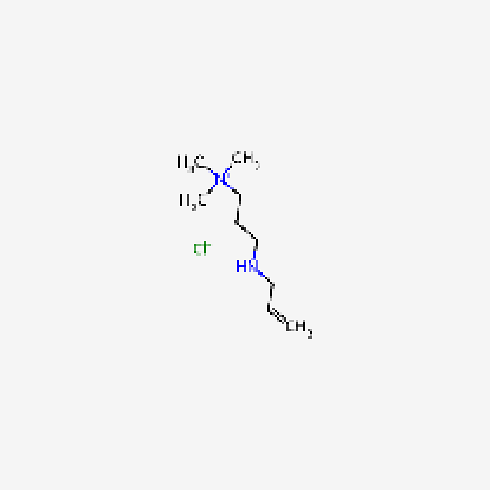 C=CCNCCC[N+](C)(C)C.[Cl-]